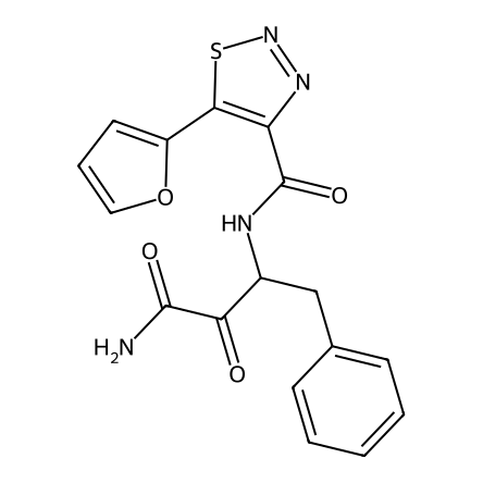 NC(=O)C(=O)C(Cc1ccccc1)NC(=O)c1nnsc1-c1ccco1